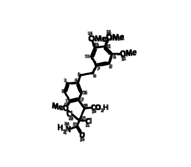 COc1ccc(CCc2cc(OC)c(OC)c(OC)c2)cc1C(C(=O)O)C(Cl)(Cl)C(N)=O